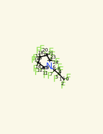 F[C](F)C(F)(F)C(F)(F)N1C(F)(F)C(F)(F)C(F)(F)C(F)(F)C1(F)F